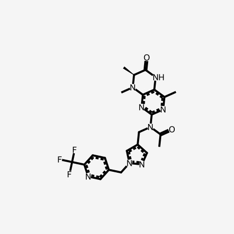 CC(=O)N(Cc1cnn(Cc2ccc(C(F)(F)F)nc2)c1)c1nc(C)c2c(n1)N(C)[C@@H](C)C(=O)N2